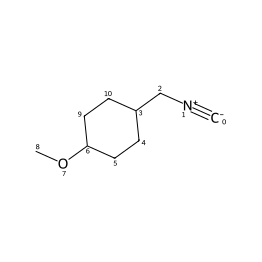 [C-]#[N+]CC1CCC(OC)CC1